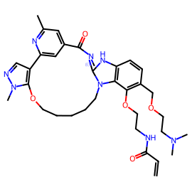 C=CC(=O)NCCOc1c(COCCN(C)C)ccc2c1N1CCCCCOc3c(cnn3C)-c3cc(cc(C)n3)C(=O)/N=C/1N2